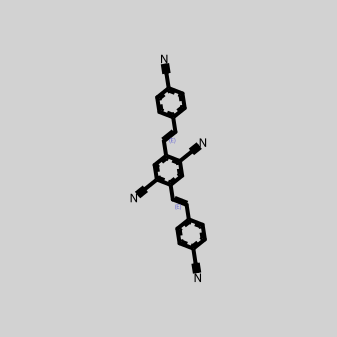 N#Cc1ccc(/C=C/c2cc(C#N)c(/C=C/c3ccc(C#N)cc3)cc2C#N)cc1